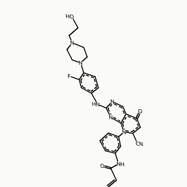 C=CC(=O)Nc1cccc(-n2c(C#N)cc(=O)c3cnc(Nc4ccc(N5CCN(CCO)CC5)c(F)c4)nc32)c1